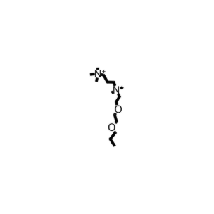 CCCOCCOCC[N+](C)(C)CCC[N+](C)(C)C